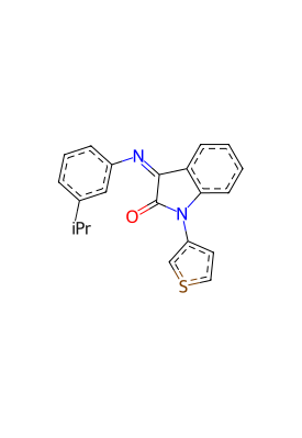 CC(C)c1cccc(N=C2C(=O)N(c3ccsc3)c3ccccc32)c1